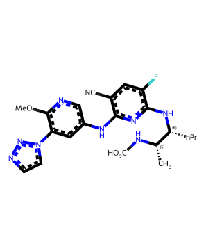 CCC[C@@H](Nc1nc(Nc2cnc(OC)c(-n3ccnn3)c2)c(C#N)cc1F)[C@H](C)NC(=O)O